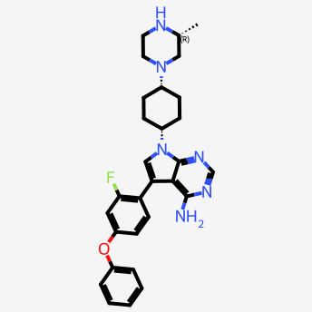 C[C@@H]1CN([C@H]2CC[C@@H](n3cc(-c4ccc(Oc5ccccc5)cc4F)c4c(N)ncnc43)CC2)CCN1